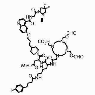 C#C[C@H]1CC(F)(F)CN1C(=O)CNC(=O)c1ccnc2ccc(OCCCC3CCN(C(=O)[C@H](CC(=O)OC)NC(=O)[C@H](CCCCNC(=O)CCCc4ccc(I)cc4)NC(=O)CN4CCN(COC=O)CCN(COC=O)CCN(CC(=O)O)CC4)CC3)cc12